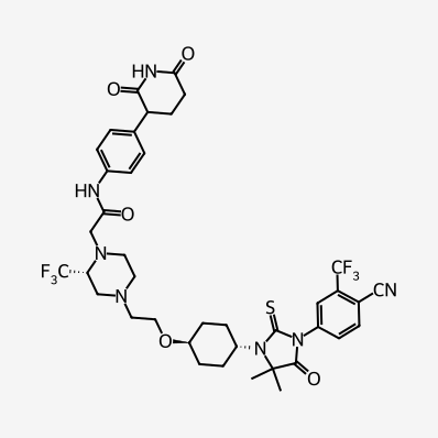 CC1(C)C(=O)N(c2ccc(C#N)c(C(F)(F)F)c2)C(=S)N1[C@H]1CC[C@H](OCCN2CCN(CC(=O)Nc3ccc(C4CCC(=O)NC4=O)cc3)[C@@H](C(F)(F)F)C2)CC1